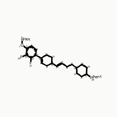 CCCCCCOc1ccc(C2=CCC(/C=C/CCC3CCC(CCCCC)CC3)CC2)c(F)c1F